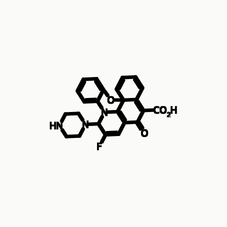 O=C(O)C1=C2C=CC=CC23Oc2ccccc2N2C3=C(C=C(F)C2N2CCNCC2)C1=O